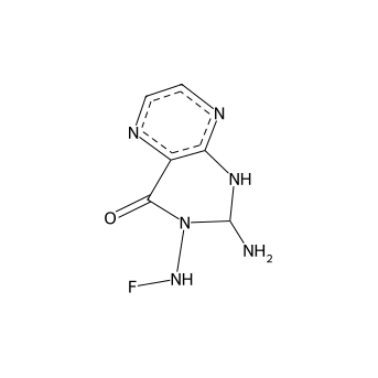 NC1Nc2nccnc2C(=O)N1NF